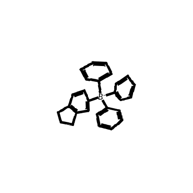 c1ccc([B-](c2ccccc2)(c2ccccc2)c2ccc3c(c2)CCC3)cc1